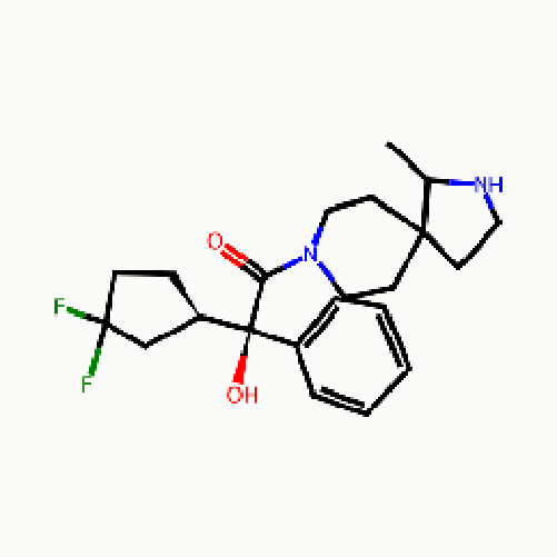 CC1NCCC12CCN(C(=O)[C@](O)(c1ccccc1)[C@@H]1CCC(F)(F)C1)CC2